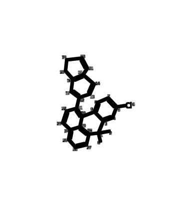 CC1(C)c2cc(Cl)ccc2-c2c(-c3ccc4c(c3)CCC=C4)ccc3cccc1c23